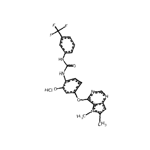 Cc1cc2ncnc(Oc3ccc(NC(=O)Nc4cccc(C(F)(F)F)c4)c(Cl)c3)c2n1C.Cl